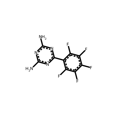 Nc1nc(N)nc(-c2c(F)c(F)c(F)c(F)c2F)n1